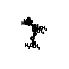 CCC[C@@H](C)N(CCNCCc1ccc(O)c2c1OCC(=O)N2)C(=O)CCOCCc1cccc(-c2cnn(C(C)C)c2)c1